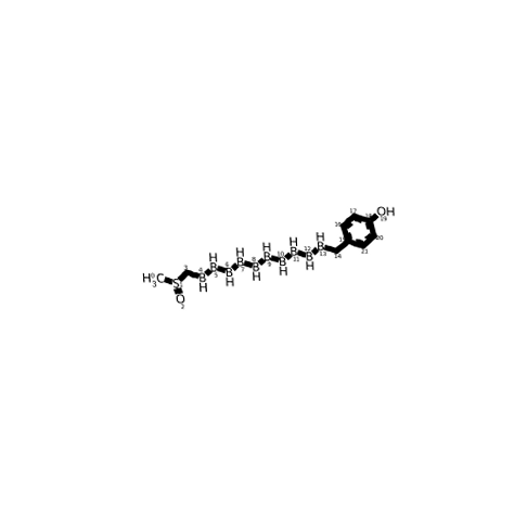 CS(=O)CBBBBBBBBBBCc1ccc(O)cc1